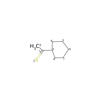 CC(=S)C1CCCCC1